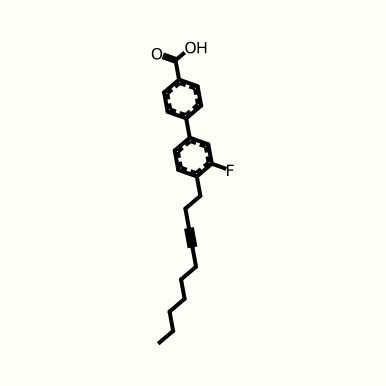 CCCCCCC#CCCc1ccc(-c2ccc(C(=O)O)cc2)cc1F